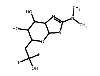 CN(C)C1=NC2C(OC(CC(O)(F)F)C(O)C2O)S1